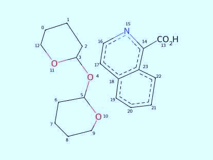 C1CCC(OC2CCCCO2)OC1.O=C(O)c1nccc2ccccc12